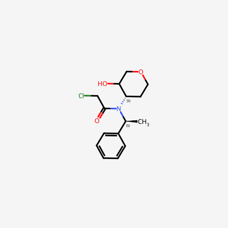 C[C@@H](c1ccccc1)N(C(=O)CCl)[C@H]1CCOCC1O